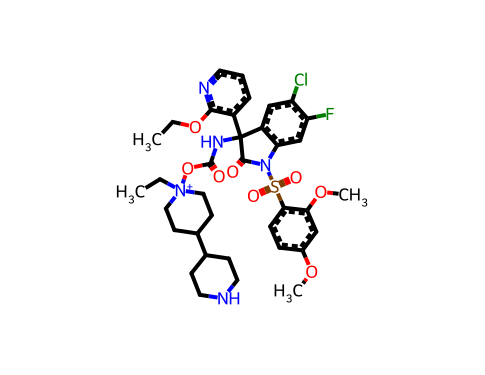 CCOc1ncccc1C1(NC(=O)O[N+]2(CC)CCC(C3CCNCC3)CC2)C(=O)N(S(=O)(=O)c2ccc(OC)cc2OC)c2cc(F)c(Cl)cc21